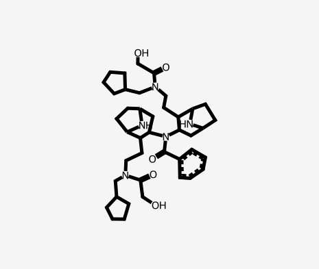 O=C(CO)N(CCC1C2CCC(CC1N(C(=O)c1ccccc1)C1CC3CCC(N3)C1CCN(CC1CCCC1)C(=O)CO)N2)CC1CCCC1